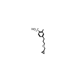 Cc1cc(CCCOCC2CC2)ccc1C(=O)O